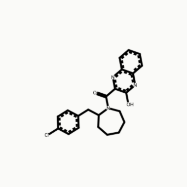 O=C(c1nc2ccccc2nc1O)N1CCCCCC1Cc1ccc(Cl)cc1